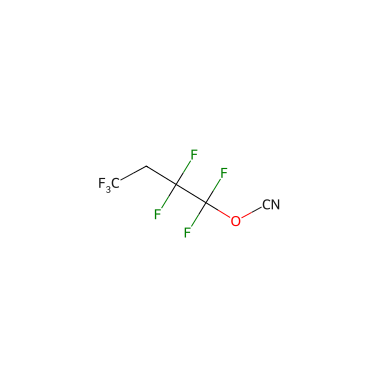 N#COC(F)(F)C(F)(F)CC(F)(F)F